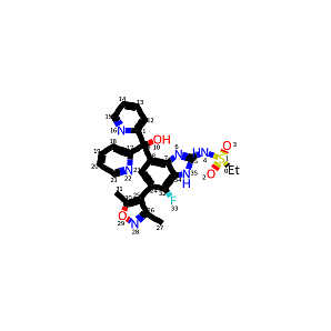 CCS(=O)(=O)Nc1nc2c(C(O)(c3ccccn3)c3ccccn3)cc(-c3c(C)noc3C)c(F)c2[nH]1